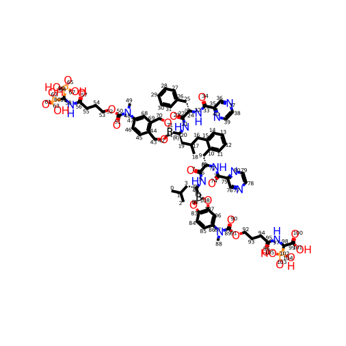 CC(C)C[C@H](NC(=O)[C@H](Cc1ccccc1CC(C)C[C@H](NC(=O)[C@H](Cc1ccccc1)NC(=O)c1cnccn1)B1OCc2ccc(N(C)C(=O)OCCCC(=O)NC(P(=O)(O)O)P(=O)(O)O)cc2CO1)NC(=O)c1cnccn1)B1Oc2ccc(N(C)C(=O)OCCCC(=O)NC(C(=O)O)P(=O)(O)O)cc2O1